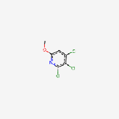 COc1cc(Cl)c(Cl)c(Cl)n1